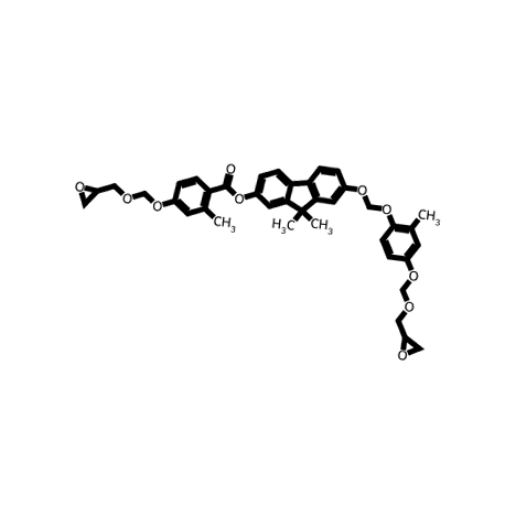 Cc1cc(OCOCC2CO2)ccc1OCOc1ccc2c(c1)C(C)(C)c1cc(OC(=O)c3ccc(OCOCC4CO4)cc3C)ccc1-2